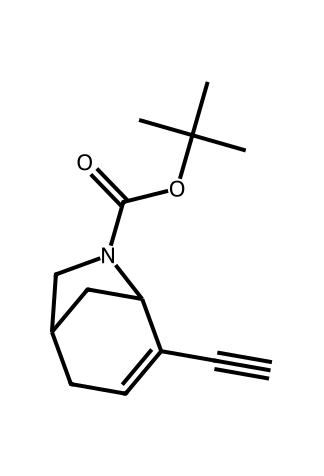 C#CC1=CCC2CC1N(C(=O)OC(C)(C)C)C2